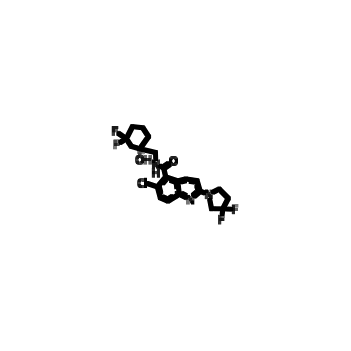 O=C(NC[C@]1(O)CCCC(F)(F)C1)c1c(Cl)ccc2nc(N3CCC(F)(F)C3)ccc12